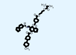 C=C(C)C(=O)OCCCCOC(=O)C1CCC(C(=O)Oc2c(/C=N/Nc3ccc4ccccc4c3)cc(OC(=O)C3CCC(C4CCC(C)CC4)CC3)c3ccccc23)CC1